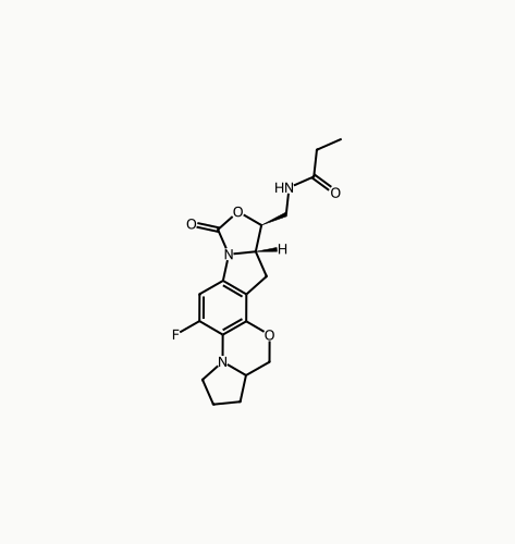 CCC(=O)NC[C@@H]1OC(=O)N2c3cc(F)c4c(c3C[C@@H]12)OCC1CCCN41